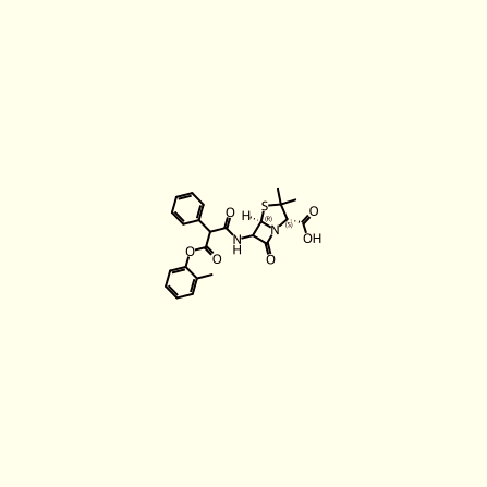 Cc1ccccc1OC(=O)C(C(=O)NC1C(=O)N2[C@@H]1SC(C)(C)[C@@H]2C(=O)O)c1ccccc1